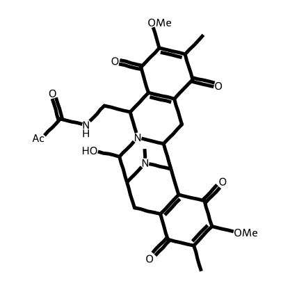 COC1=C(C)C(=O)C2=C(C1=O)C1C3CC4=C(C(=O)C(OC)=C(C)C4=O)C(CNC(=O)C(C)=O)N3C(O)C(C2)N1C